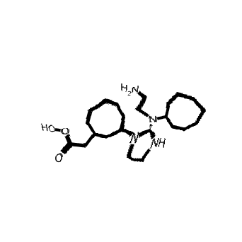 NCCN(C1CCCCCCC1)[C@@H]1NCCN1C1CCCCCC(CC(=O)OO)C1